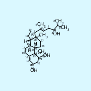 CC(C)[C@H](O)CC[C@@H](C)[C@H]1CC[C@H]2[C@@H]3C=CC4=C[C@@H](O)C[C@H](O)[C@]4(C)[C@H]3CC[C@]12C